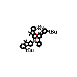 CC(C)(C)c1cc(C(C)(C)C)c2oc3ccc(-c4ccccc4N(c4ccc5c(c4)C(C)(C)c4ccccc4-5)c4ccc5c(c4)C(C)(C)c4cccc(C(C)(C)C)c4-5)cc3c2c1